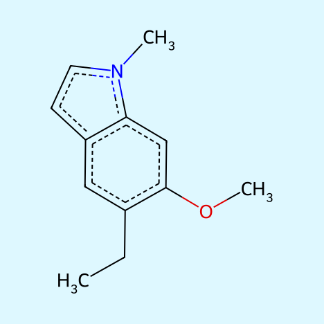 CCc1cc2ccn(C)c2cc1OC